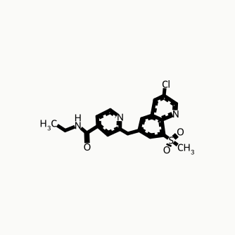 CCNC(=O)c1ccnc(Cc2cc(S(C)(=O)=O)c3ncc(Cl)cc3c2)c1